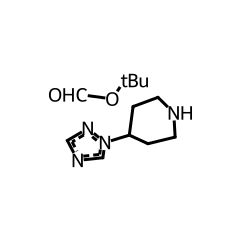 CC(C)(C)OC=O.c1ncn(C2CCNCC2)n1